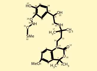 COc1ccc2c(c1)C(C)(C)OC(=O)N2CCC(C)(C)NCC(O)c1ccc(O)c(ONOSC)c1